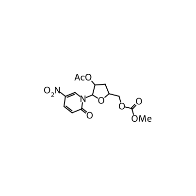 COC(=O)OCC1CC(OC(C)=O)C(n2cc([N+](=O)[O-])ccc2=O)O1